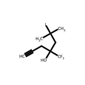 C#CCC(O)(CC(C)(C)I)C(F)(F)F